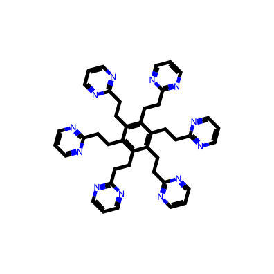 c1cnc(CCc2c(CCc3ncccn3)c(CCc3ncccn3)c(CCc3ncccn3)c(CCc3ncccn3)c2CCc2ncccn2)nc1